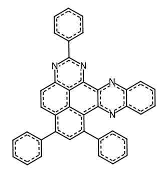 c1ccc(-c2nc3ccc4c(-c5ccccc5)cc(-c5ccccc5)c5c6nc7ccccc7nc6c(n2)c3c45)cc1